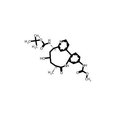 COC(=O)Nc1ccc2c(c1)NC(=O)[C@H](C)CC(O)C[C@H](NC(=O)OC(C)(C)C)c1cc-2ccn1